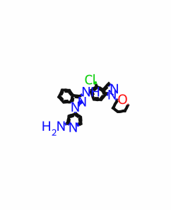 Nc1cc(-n2nc(Nc3ccc4c(cnn4C4CCCCO4)c3Cl)c3ccccc32)ccn1